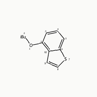 CCC(C)Oc1cccc2sccc12